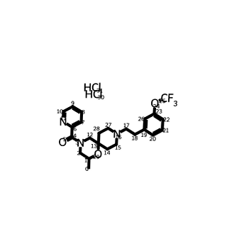 CC1CN(C(=O)c2ccccn2)CC2(CCN(CCc3cccc(OC(F)(F)F)c3)CC2)O1.Cl.Cl